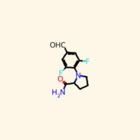 NC(=O)C1CCCN1c1c(F)cc(C=O)cc1F